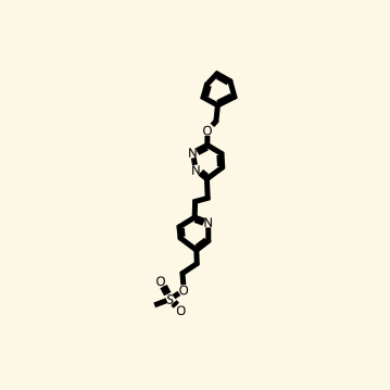 CS(=O)(=O)OCCc1ccc(CCc2ccc(OCc3ccccc3)nn2)nc1